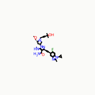 CNc1c(C(N)=O)c(C#Cc2cc3nc(C)n(C4CC4)c3cc2F)nn1[C@H]1C[C@H](COC)N(CC#CC(C)(C)O)C1